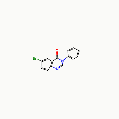 O=c1c2cc(Br)ccc2ncn1-c1ccccc1